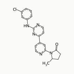 CC1CCC(=O)N1c1cc(-c2ccnc(Nc3cccc(Cl)c3)n2)ccn1